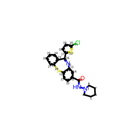 O=C(NN1CCCCC1)c1ccc2c(c1)N=C(c1ccc(Cl)s1)c1ccccc1S2